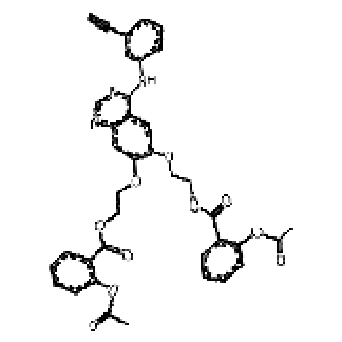 C#Cc1cccc(Nc2ncnc3cc(OCCOC(=O)c4ccccc4OC(C)=O)c(OCCOC(=O)c4ccccc4OC(C)=O)cc23)c1